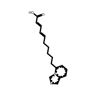 O=C(O)C=CC=CCCCCCc1cccc2cncn12